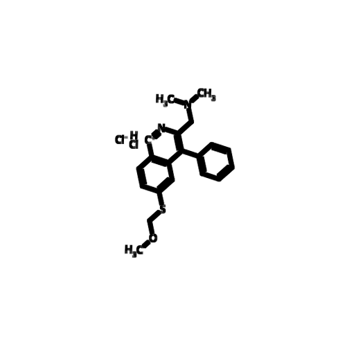 COCSc1ccc2c(c1)C(c1ccccc1)=C(CN(C)C)N=[C+]2.Cl.[Cl-]